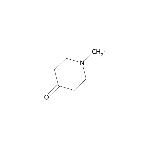 [CH2]N1CCC(=O)CC1